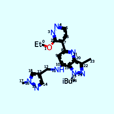 CCOc1nnccc1-c1cc(NCc2cnn(C)c2)c2c(n1)c(C)nn2[C@@H](C)CC